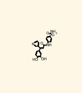 NS(=O)(=O)c1ccc(NC(=O)/C=C(\c2cccnc2)c2ccc(O)c(O)c2)cc1